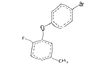 Cc1ccc(F)c(Oc2ccc(Br)cc2)c1